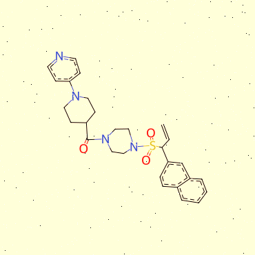 C=CC(c1ccc2ccccc2c1)S(=O)(=O)N1CCN(C(=O)C2CCN(c3ccncc3)CC2)CC1